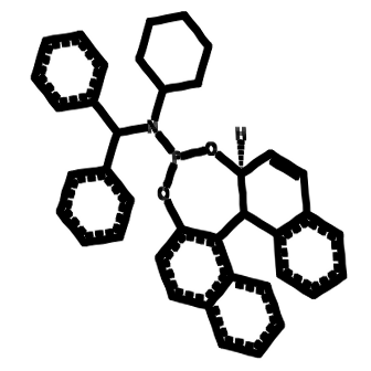 C1=C[C@@H]2OP(N(C3CCCCC3)C(c3ccccc3)c3ccccc3)Oc3ccc4ccccc4c3C2c2ccccc21